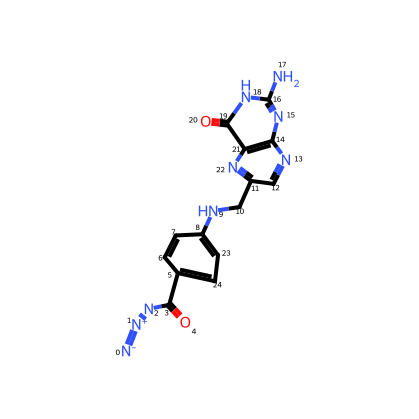 [N-]=[N+]=NC(=O)c1ccc(NCc2cnc3nc(N)[nH]c(=O)c3n2)cc1